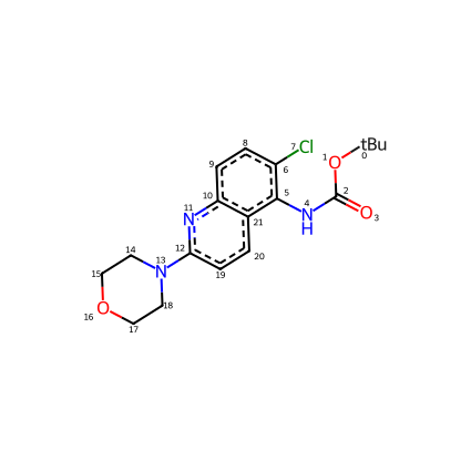 CC(C)(C)OC(=O)Nc1c(Cl)ccc2nc(N3CCOCC3)ccc12